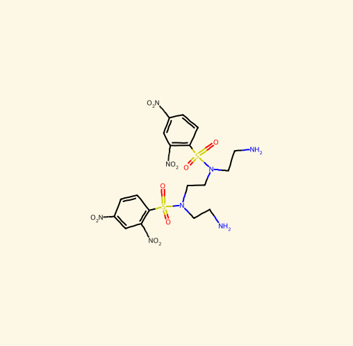 NCCN(CCN(CCN)S(=O)(=O)c1ccc([N+](=O)[O-])cc1[N+](=O)[O-])S(=O)(=O)c1ccc([N+](=O)[O-])cc1[N+](=O)[O-]